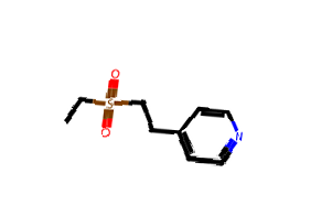 CCS(=O)(=O)CCc1ccncc1